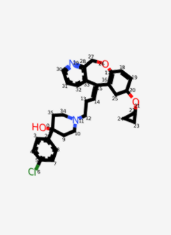 OC1(c2ccc(Cl)cc2)CCN(CCC=C2C3=C(C=CC(OC4CC4)C3)OCc3ncccc32)CC1